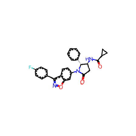 O=C(N[C@H]1CC(=O)N(c2ccc3c(-c4ccc(F)cc4)noc3c2)[C@@H]1c1ccccc1)C1CC1